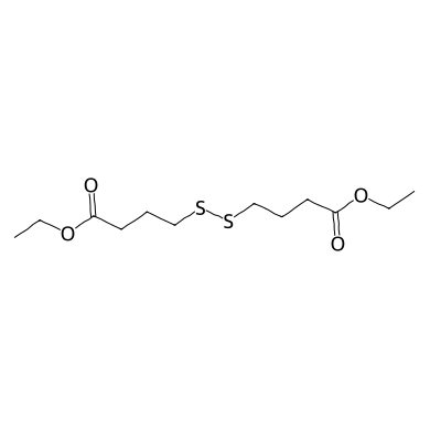 CCOC(=O)CCCSSCCCC(=O)OCC